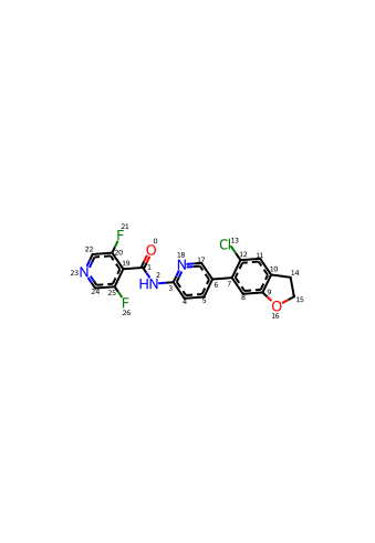 O=C(Nc1ccc(-c2cc3c(cc2Cl)CCO3)cn1)c1c(F)cncc1F